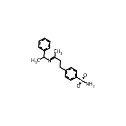 CC(CCc1ccc(S(N)(=O)=O)cc1)=NC(C)c1ccccc1